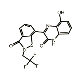 O=c1[nH]c2cccc(O)c2nc1-c1cccc2c(=O)n(CC(F)(F)F)sc12